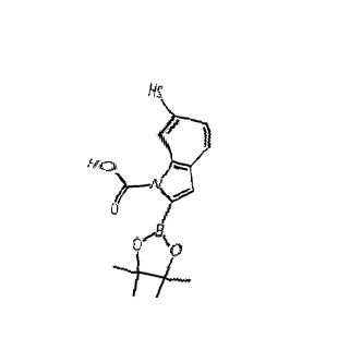 CC1(C)OB(c2cc3ccc(S)cc3n2C(=O)O)OC1(C)C